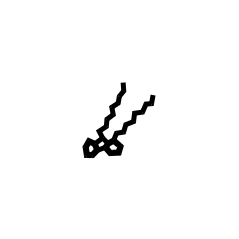 CCCCCCCCCc1cccc2c1C(CCCCCCCCC)c1ccccc1-2